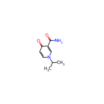 CC(C)n1ccc(=O)c(C(N)=O)c1